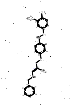 Cc1ccc(SNc2ccc(OC/C(N)=C/NCc3ccccc3)cc2)cc1C(=O)O